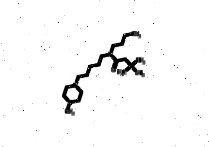 CCCCN(CCCCCN1CCN(C)CC1)C(=O)CC(C)(C)C